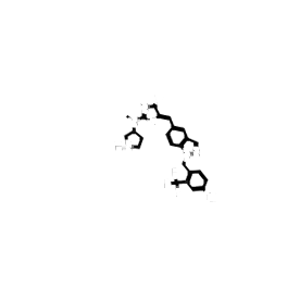 CN(C1=NC(=O)/C(=C/c2ccc3c(cnn3Cc3ccc(Cl)cc3C(F)(F)F)c2)S1)C1CCNC1